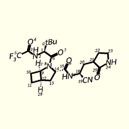 CC(C)(C)[C@H](NC(=O)C(F)(F)F)C(=O)N1[C@@H]2CC[C@@H]2C[C@H]1C(=O)N[C@H](C#N)CC1CCNC1=O